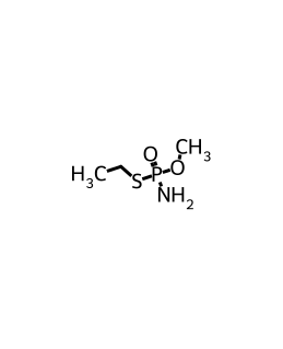 CCSP(N)(=O)OC